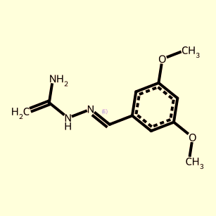 C=C(N)N/N=C/c1cc(OC)cc(OC)c1